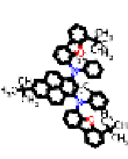 Cc1ccccc1N(c1cc(N(c2ccccc2C)c2cccc3c2oc2c(C(C)(C)C)cccc23)c2ccc3cc(C(C)(C)C)cc4ccc1c2c43)c1cccc2c1oc1c(C(C)(C)C)cccc12